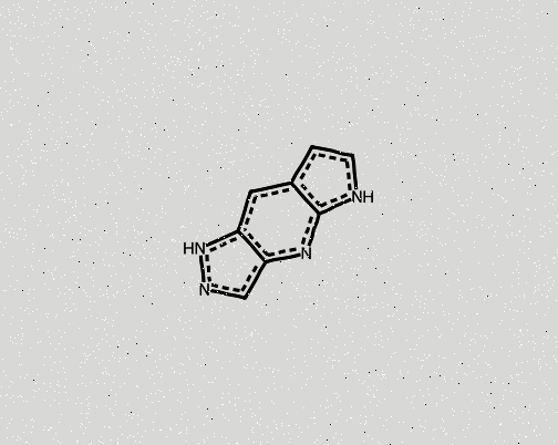 c1cc2cc3[nH]ncc3nc2[nH]1